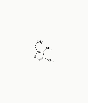 [CH2]Cc1scc(C)c1N